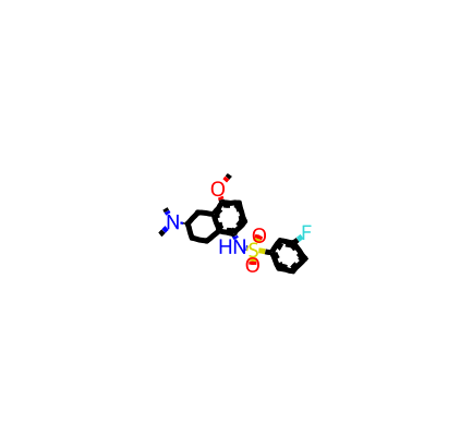 COc1ccc(NS(=O)(=O)c2cccc(F)c2)c2c1C[C@@H](N(C)C)CC2